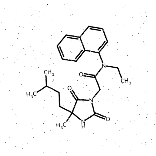 CCN(C(=O)CN1C(=O)NC(C)(CCC(C)C)C1=O)c1cccc2ccccc12